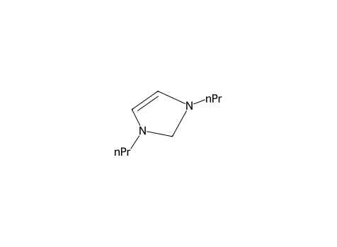 CCCN1C=CN(CCC)C1